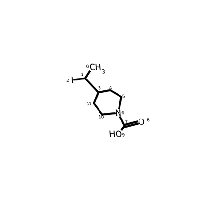 CC(I)C1CCN(C(=O)O)CC1